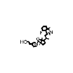 C/N=N\C(=C/C(C)C1CC[C@](C)(C(=O)N2CCC(CCO)C2)C1(C)C)c1c(F)cccc1F